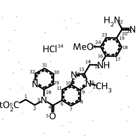 CCOC(=O)CCN(C(=O)c1ccc2c(c1)nc(CNc1ccc(C(=N)N)cc1OC)n2C)c1ccccn1.Cl